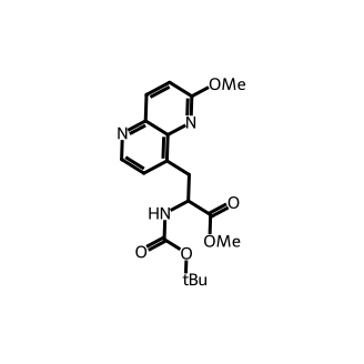 COC(=O)C(Cc1ccnc2ccc(OC)nc12)NC(=O)OC(C)(C)C